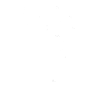 Nc1ncnc(NCOC(=O)C2CCNCC2)c1-c1ccc(Oc2ccccc2)cc1